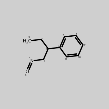 CCC(CN=O)c1ccccc1